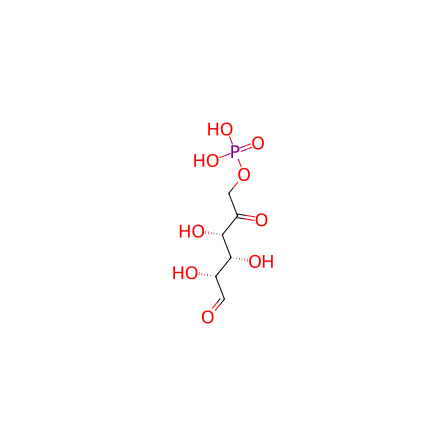 O=C[C@H](O)[C@@H](O)[C@H](O)C(=O)COP(=O)(O)O